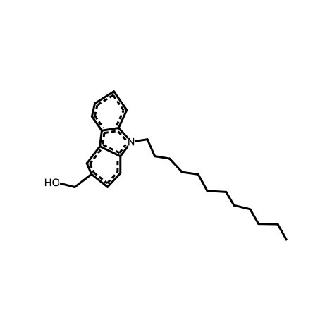 CCCCCCCCCCCCn1c2ccccc2c2cc(CO)ccc21